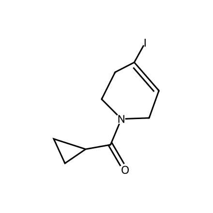 O=C(C1CC1)N1CC=C(I)CC1